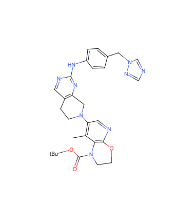 Cc1c(N2CCc3cnc(Nc4ccc(Cn5cncn5)cc4)nc3C2)cnc2c1N(C(=O)OC(C)(C)C)CCO2